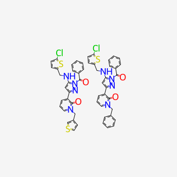 O=C(c1ccccc1)n1nc(-c2cccn(Cc3ccccc3)c2=O)cc1NCc1ccc(Cl)s1.O=C(c1ccccc1)n1nc(-c2cccn(Cc3ccsc3)c2=O)cc1NCc1ccc(Cl)s1